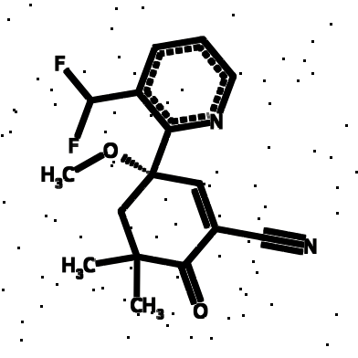 CO[C@]1(c2ncccc2C(F)F)C=C(C#N)C(=O)C(C)(C)C1